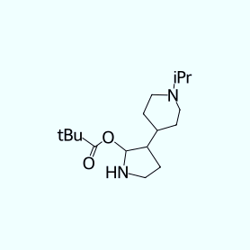 CC(C)N1CCC(C2CCNC2OC(=O)C(C)(C)C)CC1